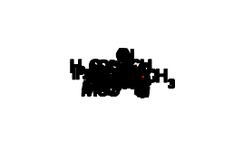 CC[C@H](C)[C@@H]([C@@H](CC(=O)N1CCC[C@@H]1[C@H](OC)[C@@H](C)C(=O)N[C@H](C)C[C@]1(O)C=CC=CC1)OC)N(C)C(=O)[C@@H](NC(=O)[C@H](C(C)C)N(C)C(=O)O[C@H]1CC[C@H](SSc2ccccn2)CC1)C(C)C